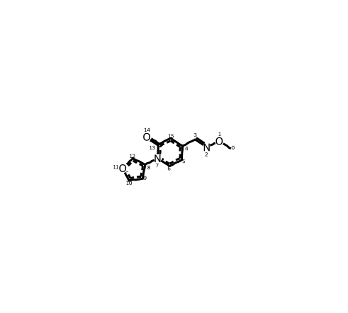 CON=Cc1ccn(-c2ccoc2)c(=O)c1